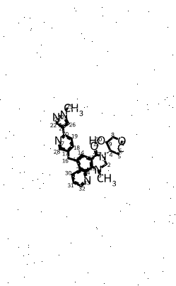 CN1CN([C@H]2CCOC[C@@H]2O)C(=O)c2cc(Cc3ccc(-c4cnn(C)c4)nc3)c3cccnc3c21